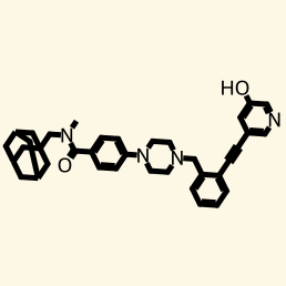 CN(CC12CC3CC(CC(C3)C1)C2)C(=O)c1ccc(N2CCN(Cc3ccccc3C#Cc3cncc(O)c3)CC2)cc1